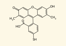 Cc1cc2c(-c3ccc(S)cc3C(=O)O)c3cc(C)c(=O)cc-3oc2cc1O